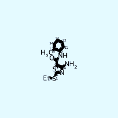 CCSc1nc(N)c(C(=O)Nc2ccccc2C)s1